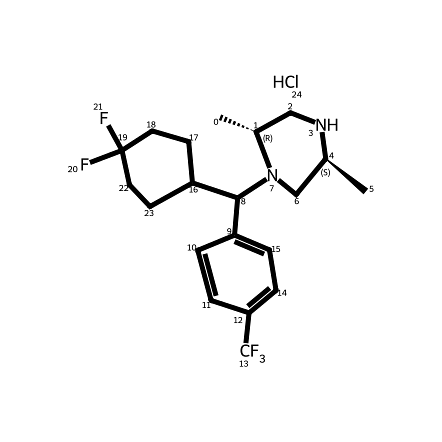 C[C@@H]1CN[C@@H](C)CN1C(c1ccc(C(F)(F)F)cc1)C1CCC(F)(F)CC1.Cl